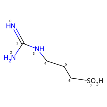 N=C(N)NCCCS(=O)(=O)O